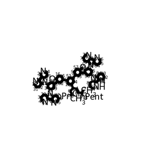 CCCCCC(C)/C=C/C(CC(C)(C)CCC)c1cc(-c2ccc3oc4c(-n5c6ccncc6c6ncccc65)cc(-n5c6cccnc6c6ncccc65)cc4c3c2)cc(-c2ccc3oc4c(-n5c6cccnc6c6ncccc65)cc(-n5c6c(c7ncccc75)NCC=C6)cc4c3c2)c1